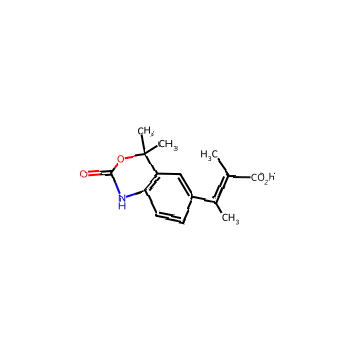 CC(C(=O)O)=C(C)c1ccc2c(c1)C(C)(C)OC(=O)N2